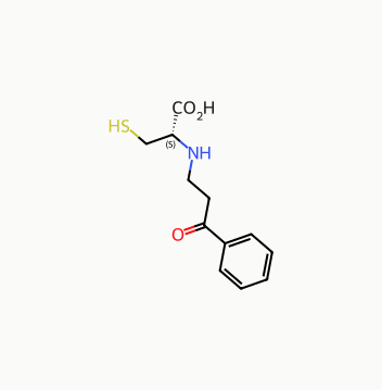 O=C(CCN[C@H](CS)C(=O)O)c1ccccc1